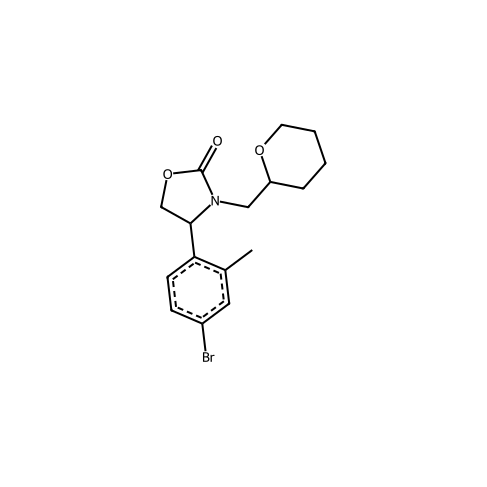 Cc1cc(Br)ccc1C1COC(=O)N1CC1CCCCO1